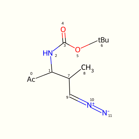 CC(=O)C(NC(=O)OC(C)(C)C)C(C)C=[N+]=[N-]